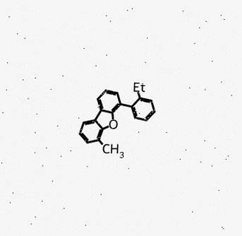 CCc1ccccc1-c1cccc2c1oc1c(C)cccc12